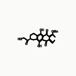 C/C=C1/C(=O)c2c(O)c3c(c(O)c2C(=O)/C1=C(/C)OC)CC[C@H](C(=O)CO)C3